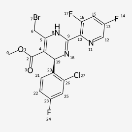 COC(=O)C1=C(CBr)NC(c2ncc(F)cc2F)=N[C@H]1c1ccc(F)cc1Cl